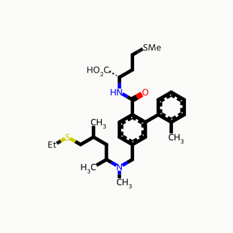 CCSCC(C)CC(C)N(C)Cc1ccc(C(=O)N[C@@H](CCSC)C(=O)O)c(-c2ccccc2C)c1